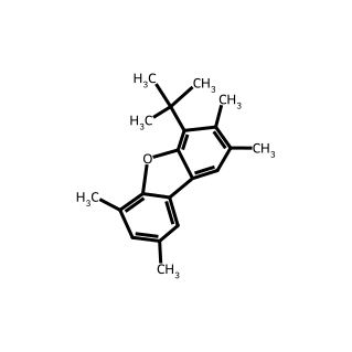 Cc1cc(C)c2oc3c(C(C)(C)C)c(C)c(C)cc3c2c1